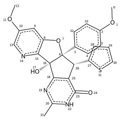 COc1ccc([C@@]23Oc4cc(OC)cnc4[C@]2(O)c2nc(C)[nH]c(=O)c2[C@H]3c2cccs2)cc1